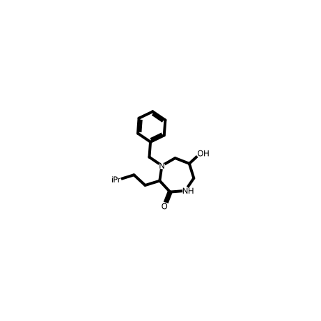 CC(C)CCC1C(=O)NCC(O)CN1Cc1ccccc1